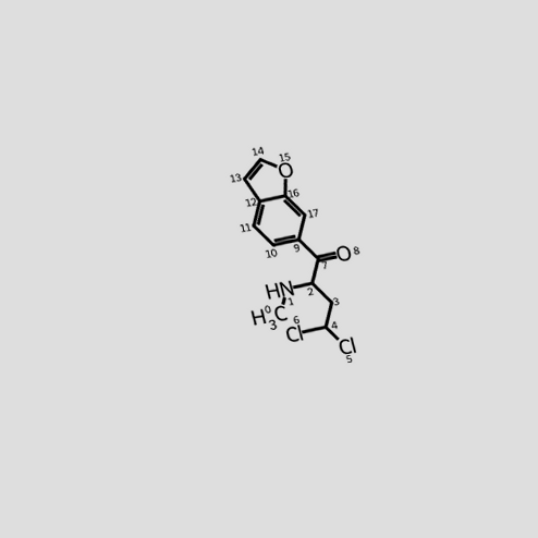 CNC(CC(Cl)Cl)C(=O)c1ccc2ccoc2c1